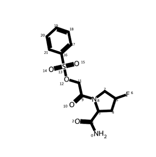 NC(=O)C1CC(F)CN1C(=O)COS(=O)(=O)c1ccccc1